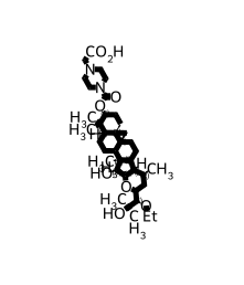 CCO[C@@H](C1C[C@@H](C)[C@H]2C(O1)[C@H](O)[C@@]1(C)C3CC[C@H]4C(C)(C)[C@@H](OC(=O)N5CCN(CC(=O)O)CC5)CC[C@@]45C[C@@]35CC[C@]21C)C(C)(C)O